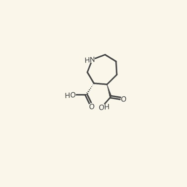 O=C(O)[C@@H]1CCCNC[C@H]1C(=O)O